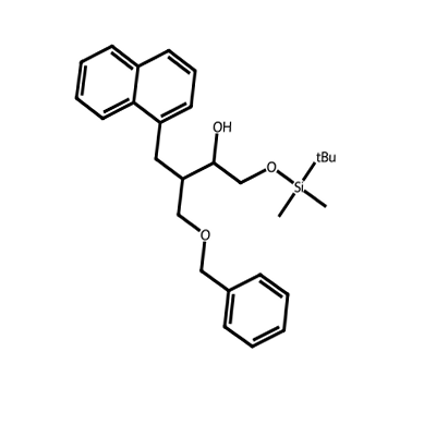 CC(C)(C)[Si](C)(C)OCC(O)C(COCc1ccccc1)Cc1cccc2ccccc12